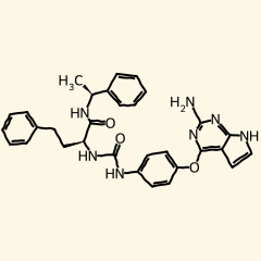 C[C@H](NC(=O)[C@H](CCc1ccccc1)NC(=O)Nc1ccc(Oc2nc(N)nc3[nH]ccc23)cc1)c1ccccc1